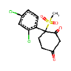 CS(=O)(=O)C1(c2ccc(Cl)cc2Cl)CCC(=O)CC1=O